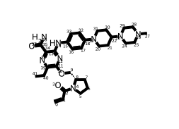 C=CC(=O)N1CCC[C@H]1COc1nc(Nc2ccc(N3CCC(N4CCN(C)CC4)CC3)cc2)c(C(N)=O)nc1CC